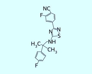 CC(C)(CNc1nc(-c2ccc(C#N)c(F)c2)ns1)c1ccc(F)cc1